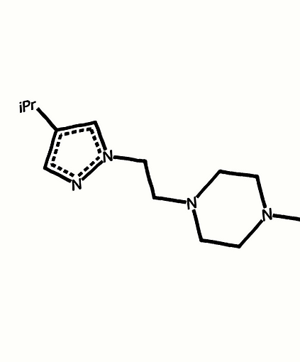 CC(C)c1cnn(CCN2CCN(C)CC2)c1